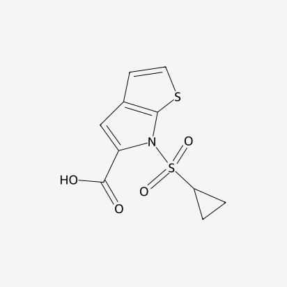 O=C(O)c1cc2ccsc2n1S(=O)(=O)C1CC1